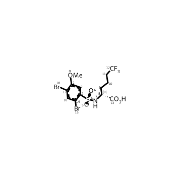 COc1cc(S(=O)(=O)N[C@H](CCCC(F)(F)F)C(=O)O)c(Br)cc1Br